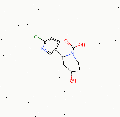 O=C(O)N1CCC(O)CC1c1ccc(Cl)nc1